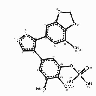 COc1cc(-c2conc2-c2cc(C)c3c(c2)OCO3)cc(OP(=O)(O)O)c1OC